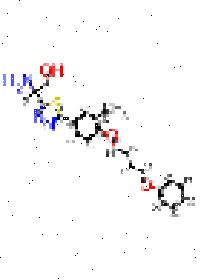 CC(N)(CO)c1nnc(-c2ccc(OCCCCOc3ccccc3)c(C(F)(F)F)c2)s1